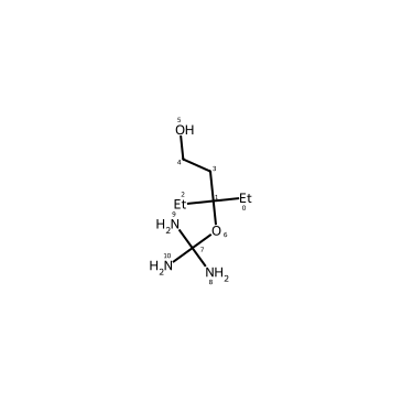 CCC(CC)(CCO)OC(N)(N)N